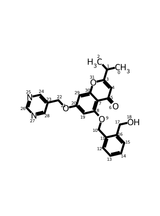 CC(C)c1cc(=O)c2c(OCc3ccccc3CO)cc(OCc3cncnc3)cc2o1